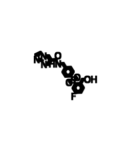 O=C(NCc1ccc(S(=O)(=O)c2cc(F)ccc2CO)cc1)c1cnc2nccn2c1